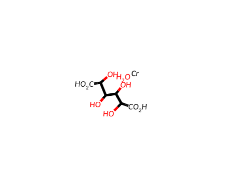 O.O=C(O)C(O)C(O)C(O)C(O)C(=O)O.[Cr]